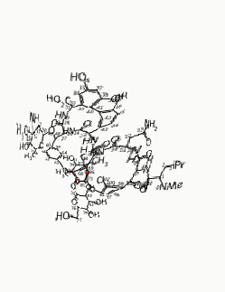 CNC(CC(C)C)C(=O)NC1C(=O)NC(CC(N)=O)C(=O)NC2C(=O)NC3C(=O)NC(C(=O)NC(C(=O)O)c4cc(O)cc(O)c4-c4cc3ccc4O)C(OC3CC(C)(N)C(O)C(C)O3)c3ccc(cc3)Oc3cc2cc(c3OC2OC(CO)C(O)C(O)C2OC2CC(C)(C)C(O)C(C)O2)Oc2ccc(cc2Cl)C1O